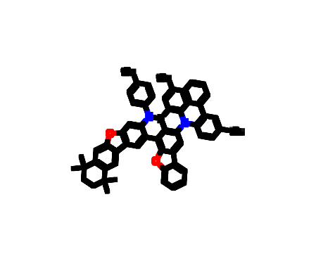 CC(C)(C)c1ccc(N2B3c4cc(C(C)(C)C)ccc4N(c4ccc(C(C)(C)C)cc4-c4ccccc4)c4cc5c(oc6ccccc65)c(c43)-c3cc4c(cc32)oc2cc3c(cc24)C(C)(C)CCC3(C)C)cc1